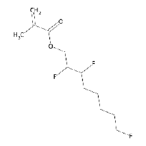 C=C(C)C(=O)OCC(F)C(F)CCCCCF